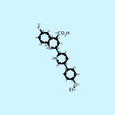 CCOc1ccc(-c2ccc(-c3cc(C(=O)O)c4cc(F)ccc4n3)nc2)cc1